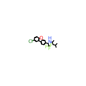 CC(C)CC(C)NC(c1ccc2c(c1)oc1ccc(Cl)cc12)C(F)(F)F